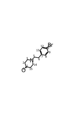 O=C1CCN(CCc2ccc(Br)cc2)CC1